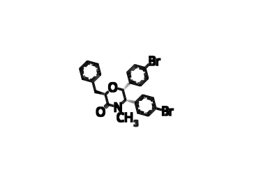 CN1C(=O)[C@@H](Cc2ccccc2)O[C@H](c2ccc(Br)cc2)[C@@H]1c1ccc(Br)cc1